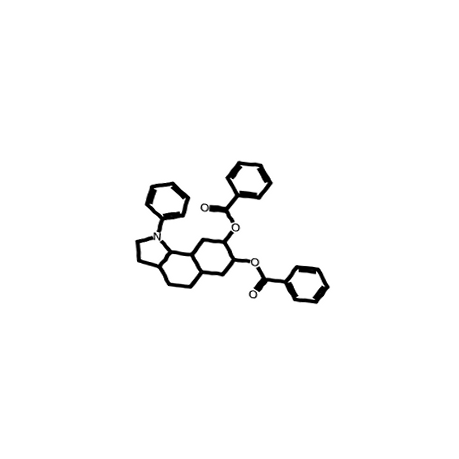 O=C(OC1CC2CCC3CCN(c4ccccc4)C3C2CC1OC(=O)c1ccccc1)c1ccccc1